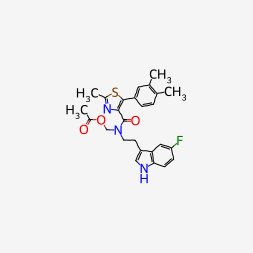 CC(=O)OCN(CCc1c[nH]c2ccc(F)cc12)C(=O)c1nc(C)sc1-c1ccc(C)c(C)c1